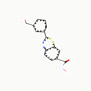 O=C(NO)c1ccc2nc(-c3cccc(CO)c3)sc2c1